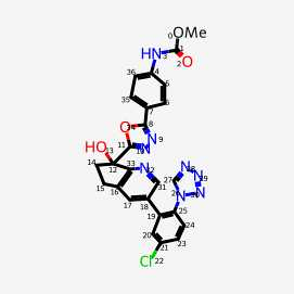 COC(=O)Nc1ccc(-c2nnc(C3(O)CCc4cc(-c5cc(Cl)ccc5-n5cnnn5)cnc43)o2)cc1